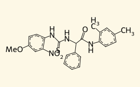 COc1ccc(NC(=S)NC(C(=O)Nc2ccc(C)cc2C)c2ccccc2)c([N+](=O)[O-])c1